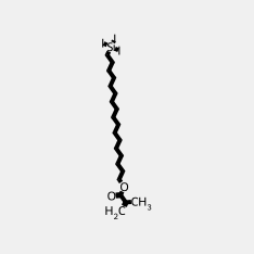 C=C(C)C(=O)OCCCCCCCCCCCCCCCCC[Si](I)(I)I